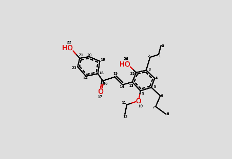 CCCc1cc(CCC)c(OCC)c(C=CC(=O)c2ccc(O)cc2)c1O